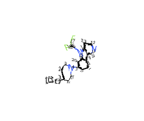 CC(C)(C)C1CCN(c2ccc3c4cnccc4n(C(F)F)c3c2)CC1